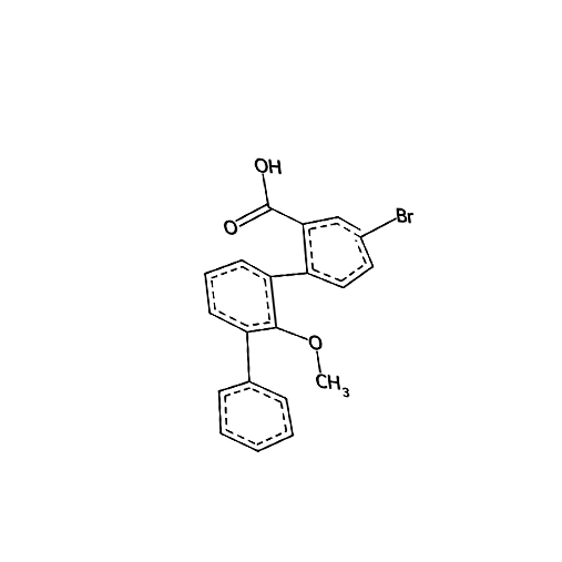 COc1c(-c2ccccc2)cccc1-c1ccc(Br)cc1C(=O)O